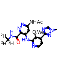 [2H]C([2H])([2H])NC(=O)c1nnc(NC(C)=O)cc1Nc1nccc(-c2ncn(C)n2)c1OC